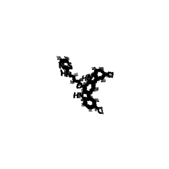 Clc1ccc2[nH]c3c(OCCCNc4nccs4)c4[nH]c5ccc(Cl)cc5c4cc3c2c1